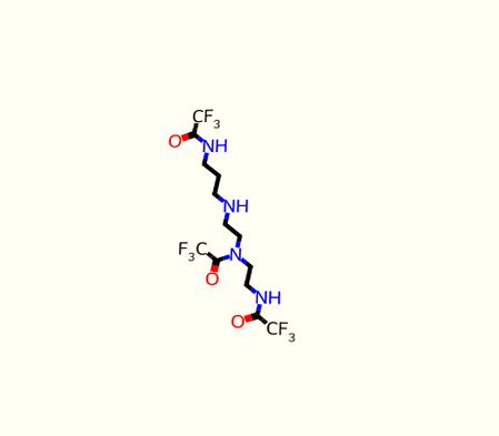 O=C(NCCCNCCN(CCNC(=O)C(F)(F)F)C(=O)C(F)(F)F)C(F)(F)F